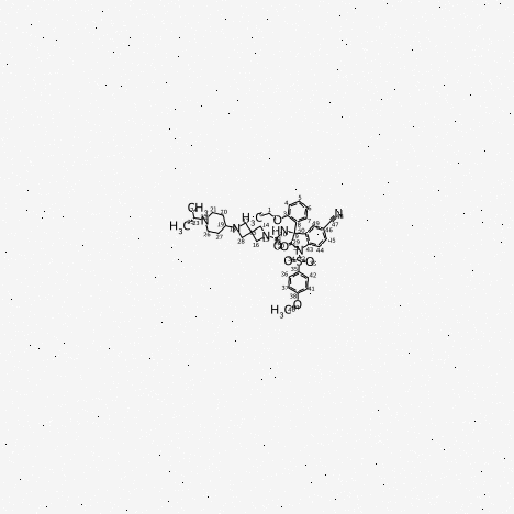 CCOc1ccccc1[C@@]1(NC(=O)N2CC3(C2)CN(C2CCN(C(C)C)CC2)C3)C(=O)N(S(=O)(=O)c2ccc(OC)cc2)c2ccc(C#N)cc21